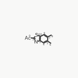 CC(=O)c1nc2cc(C)c(C)cc2s1